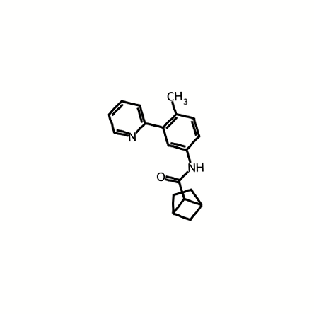 Cc1ccc(NC(=O)C2C3CCC2C3)cc1-c1ccccn1